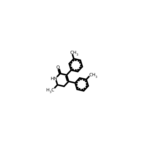 Cc1cccc(C2=C(c3cccc(C)c3)C(=O)NC(C)C2)c1